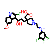 COc1ccc2ncc(F)c(C(O)CCC3(CC(=O)O)CCN(CCNc4cc(F)c(F)c(F)c4)CC3)c2c1